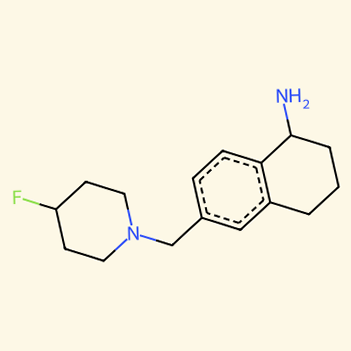 NC1CCCc2cc(CN3CCC(F)CC3)ccc21